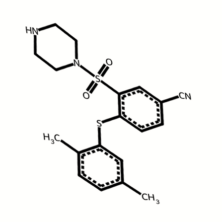 Cc1ccc(C)c(Sc2ccc(C#N)cc2S(=O)(=O)N2CCNCC2)c1